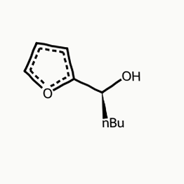 CCCC[C@H](O)c1ccco1